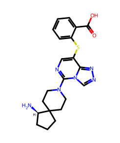 N[C@@H]1CCCC12CCN(c1ncc(Sc3ccccc3C(=O)O)c3nncn13)CC2